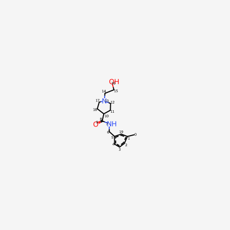 Cc1cccc(CNC(=O)C2CCN(CCO)CC2)c1